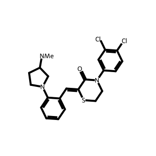 CNC1CCN(c2ccccc2C=C2SCCN(c3ccc(Cl)c(Cl)c3)C2=O)C1